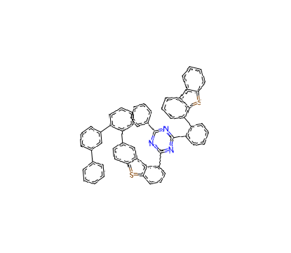 c1ccc(-c2cccc(-c3ccccc3-c3ccc4sc5cccc(-c6nc(-c7ccccc7)nc(-c7ccccc7-c7cccc8c7sc7ccccc78)n6)c5c4c3)c2)cc1